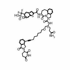 NC(=O)CC[C@@H](COCCCCCCC#Cc1cccc2c1CN(C1CCC(=O)NC1=O)C2=O)NC(=O)[C@@H]1Cc2cccc3c2N1C(=O)[C@@H](NC(=O)c1cc2cc(C(F)(F)P(=O)(O)O)ccc2s1)CC3